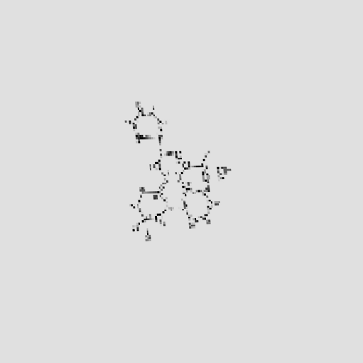 CC(=O)Oc1c(OC(=O)c2ccncc2)c2c(c3ccccc13)OC(C)(C)CC2.Cl